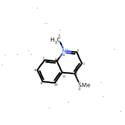 CSc1cc[n+](C)c2ccccc12